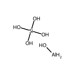 O[Si](O)(O)O.[OH][AlH2]